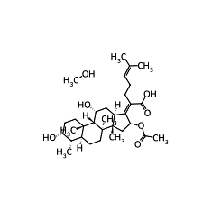 CC(=O)O[C@H]1C[C@@]2(C)[C@@H](C[C@@H](O)[C@H]3[C@@]4(C)CC[C@@H](O)[C@@H](C)[C@@H]4CC[C@@]32C)/C1=C(\CCC=C(C)C)C(=O)O.CO